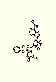 CC(C)OC(=O)[C@H](C)N[P@@](=O)(OC[C@H]1O[C@@H](n2cnc3c(NC4CC4)ncnc32)[C@](C)(F)[C@@H]1O)Oc1ccccc1